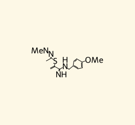 C=C(S/C(C)=N/NC)C(=N)NCc1ccc(OC)cc1